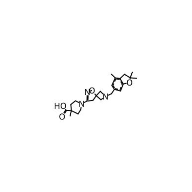 Cc1cc(CN2CC3(CC(N4CCC(C)(C(=O)O)CC4)=NO3)C2)cc2c1CC(C)(C)O2